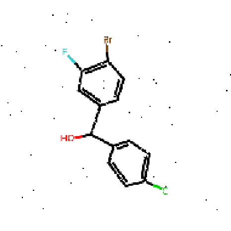 OC(c1ccc(Cl)cc1)c1ccc(Br)c(F)c1